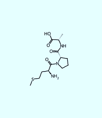 CSCC[C@H](N)C(=O)N1CCC[C@H]1C(=O)N[C@@H](C)C(=O)O